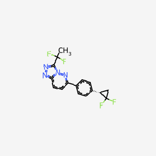 CC(F)(F)c1nnc2ccc(-c3ccc([C@@H]4CC4(F)F)cc3)nn12